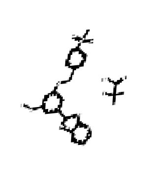 CC(C)Oc1cc(OCc2ccc(S(C)(=O)=O)cc2)cc(-c2nc3cccnc3[nH]2)c1.O=C(O)C(F)(F)F